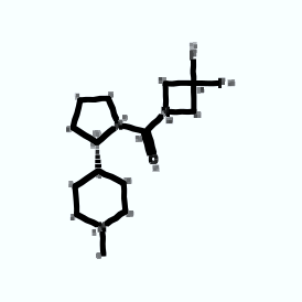 CN1CCC([C@@H]2CCCN2C(=O)N2CC(F)(F)C2)CC1